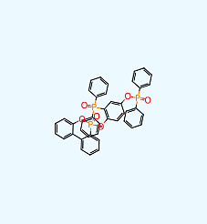 O=P1(Oc2ccc(OP(=O)(c3ccccc3)c3ccccc3)cc2P(=O)(c2ccccc2)c2ccccc2)Oc2ccccc2-c2ccccc21